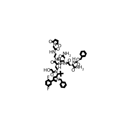 CC(C)(C)[C@H](c1cc(-c2cc(F)ccc2F)cn1Cc1ccccc1)N(CC[C@H](NC(=O)[C@H](CC(N)=O)NC(=O)C[C@@H](NC(=O)OCc1ccccc1)C(N)=O)C(=O)NCCNC(=O)CN1C(=O)C=CC1=O)C(=O)CO